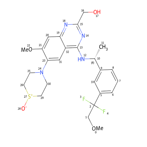 COCC(F)(F)c1cccc([C@@H](C)Nc2nc(CO)nc3cc(OC)c(N4CC[S+]([O-])CC4)cc23)c1